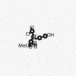 COC(=O)c1ccc(-n2cc(-c3ccc(Cl)cc3Cl)nc2Cc2ccc(-c3ccc(O)cc3)cc2)cc1NS(C)(=O)=O